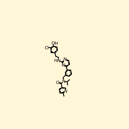 Cc1ccc(C(=O)N(Cc2cccc(-c3ccnc(NCCc4ccc(O)c(Cl)c4)n3)c2)C(C)C)cn1